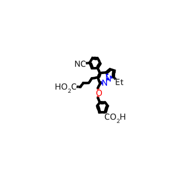 CCc1ccc2c(-c3cccc(C#N)c3)c(CCCCC(=O)O)c(COCc3ccc(C(=O)O)cc3)nn12